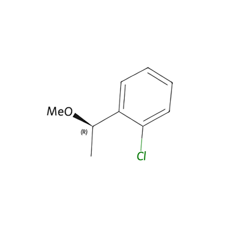 CO[C@H](C)c1ccccc1Cl